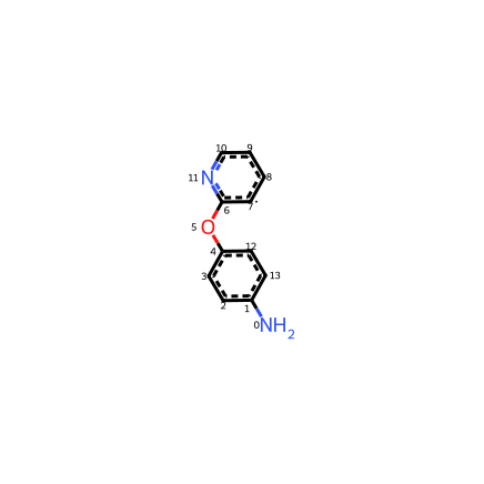 Nc1ccc(Oc2[c]cccn2)cc1